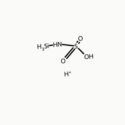 O=S(=O)(O)N[SiH3].[H+]